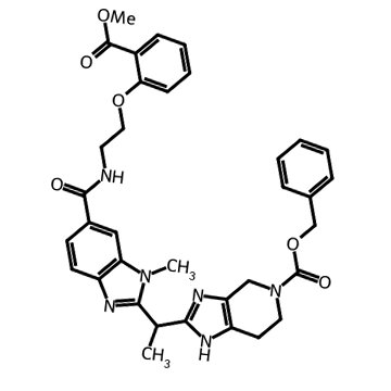 COC(=O)c1ccccc1OCCNC(=O)c1ccc2nc(C(C)c3nc4c([nH]3)CCN(C(=O)OCc3ccccc3)C4)n(C)c2c1